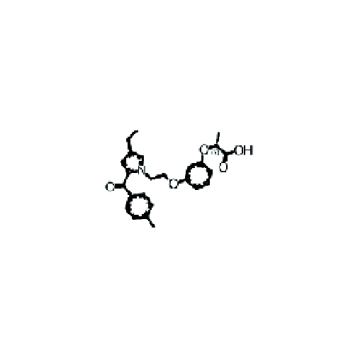 CCc1cc(C(=O)c2ccc(C)cc2)n(CCOc2cccc(O[C@@H](C)C(=O)O)c2)c1